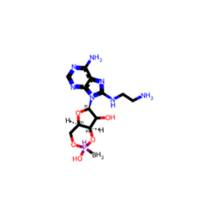 B[PH]1(O)OC[C@H]2O[C@@H](n3c(NCCN)nc4c(N)ncnc43)C(O)[C@H]2O1